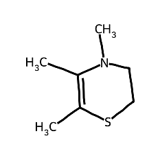 CC1=C(C)N(C)CCS1